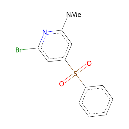 CNc1cc(S(=O)(=O)c2ccccc2)cc(Br)n1